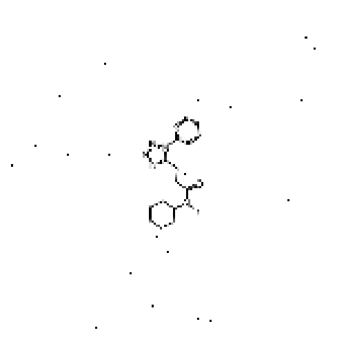 CCN(C(=O)CCc1nnnn1-c1ccccc1)C1CCCCC1